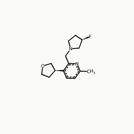 Cc1ccc([C@H]2CCOC2)c(CN2CC[C@@H](F)C2)n1